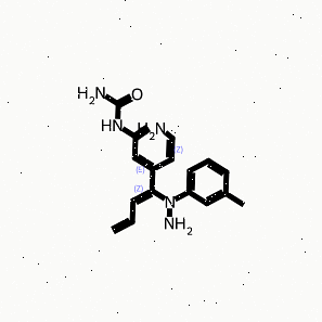 C=C/C=C(C(/C=C\N)=C/C(=C)NC(N)=O)\N(N)c1cccc(C)c1